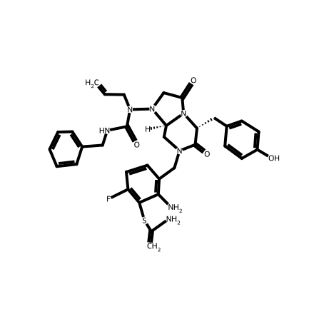 C=CCN(C(=O)NCc1ccccc1)N1CC(=O)N2[C@H](Cc3ccc(O)cc3)C(=O)N(Cc3ccc(F)c(SC(=C)N)c3N)C[C@H]21